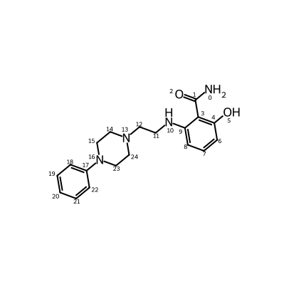 NC(=O)c1c(O)cccc1NCCN1CCN(c2ccccc2)CC1